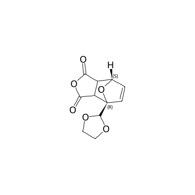 O=C1OC(=O)C2C1[C@@H]1C=C[C@@]2(C2OCCO2)O1